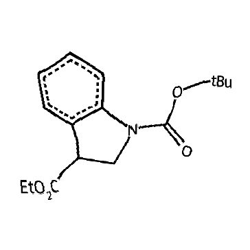 CCOC(=O)C1CN(C(=O)OC(C)(C)C)c2ccccc21